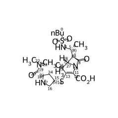 CCCCS(=O)(=O)N[C@H](C)[C@H]1C(=O)N2C(C(=O)O)=C(S[C@@H]3CN[C@H](C(=O)N(C)C)C3)[C@H](C)[C@H]12